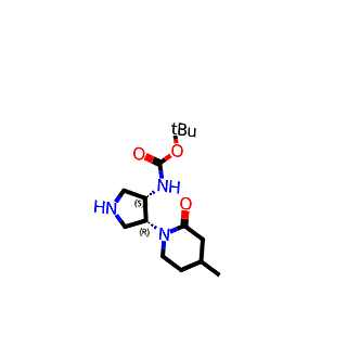 CC1CCN([C@@H]2CNC[C@@H]2NC(=O)OC(C)(C)C)C(=O)C1